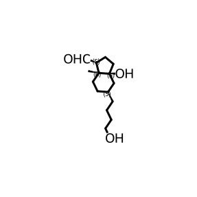 C[C@]12CC[C@H](CCCCO)C[C@@]1(O)CC[C@@H]2C=O